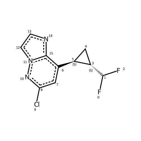 FC(F)[C@H]1C[C@@H]1c1cc(Cl)nn2ccnc12